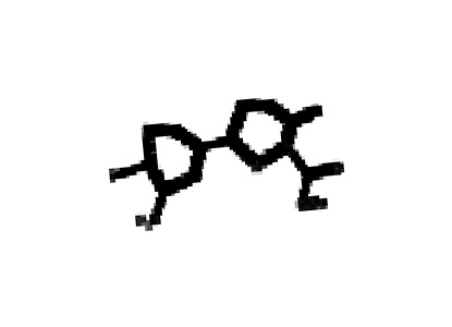 COC(=O)n1nc(-c2ccc(F)c(C)c2)ccc1=O